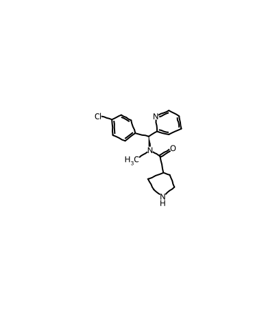 CN(C(=O)C1CCNCC1)[C@@H](c1ccc(Cl)cc1)c1ccccn1